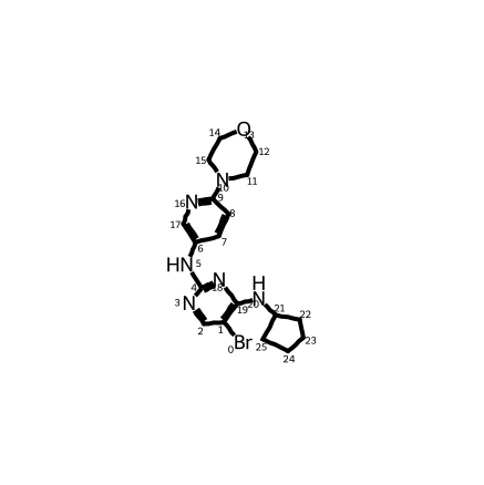 Brc1cnc(Nc2ccc(N3CCOCC3)nc2)nc1NC1CCCC1